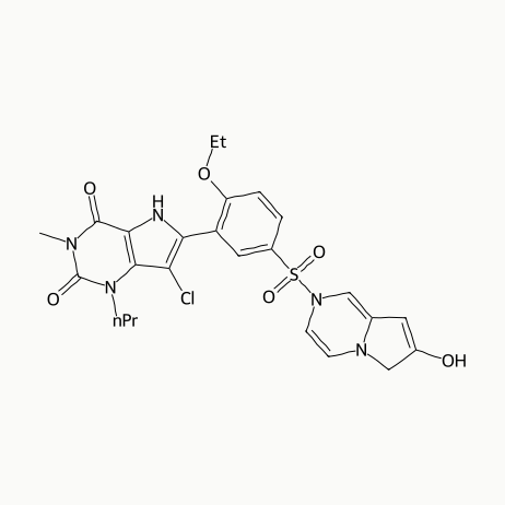 CCCn1c(=O)n(C)c(=O)c2[nH]c(-c3cc(S(=O)(=O)N4C=CN5CC(O)=CC5=C4)ccc3OCC)c(Cl)c21